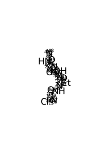 CC[C@@H]1CN(CCNC(=O)c2ccc3c(Cl)ccnc3c2)CCC1C(=O)N1CCC(O)(Cn2cnc3cc(NC(=O)CCN(C)C)ccc3c2=O)CC1